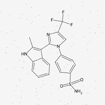 Cc1[nH]c2ccccc2c1-c1nc(C(F)(F)F)cn1-c1ccc(S(N)(=O)=O)cc1